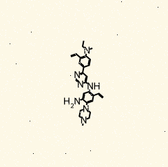 C=Cc1cc(N2CCN(C)CC2)c(N)cc1Nc1cc(-c2ccc(N(C)CC)c(C=C)c2)ncn1